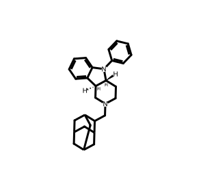 c1ccc(N2c3ccccc3[C@@H]3CN(CC4C5CC6CC(C5)CC4C6)CC[C@H]32)cc1